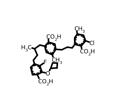 Cc1cc(Cl)c(C(=O)O)c(CCCc2cc(C(=O)O)c(CC(C)CCc3ccc(C(=O)O)c(OC4CCC4)c3F)cc2C)c1